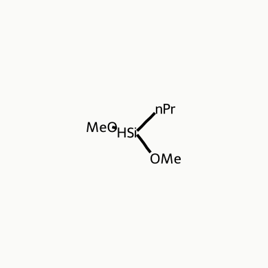 CCC[SiH](OC)OC